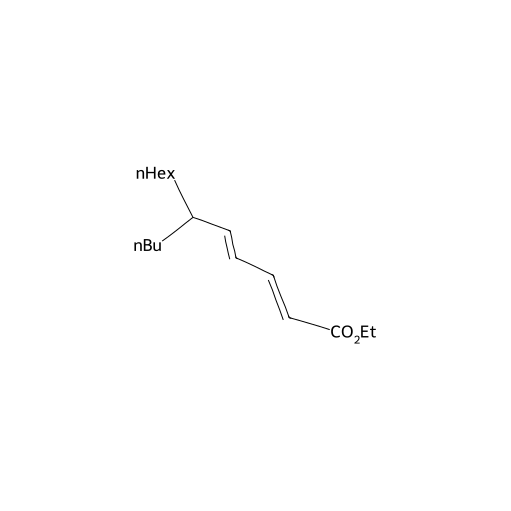 CCCCCCC(C=CC=CC(=O)OCC)CCCC